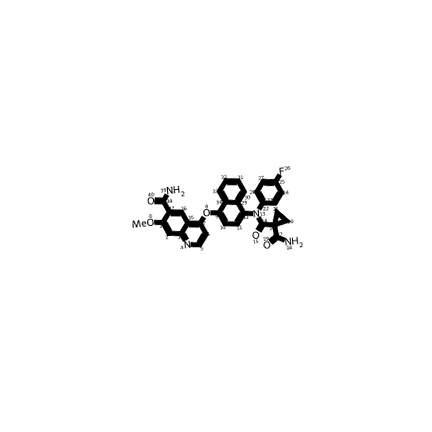 COc1cc2nccc(Oc3ccc(N(C(=O)C4(C(N)=O)CC4)c4ccc(F)cc4)c4ccccc34)c2cc1C(N)=O